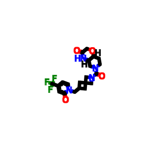 O=C1CO[C@H]2CCN(C(=O)N3CC4(CC(Cn5ccc(C(F)(F)F)cc5=O)C4)C3)C[C@H]2N1